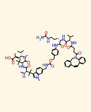 CNC(C(=O)N[C@H](C(=O)N(C)[C@H](/C=C(\C)C(=O)O)C(C)C)C(C)(C)C)C(C)(C)c1cn(C)c2cc(CNC(=O)OCc3ccc(NC(=O)[C@H](CCCNC(N)=O)NC(=O)[C@@H](NC(=O)CCC(=O)N4Cc5ccccc5C#Cc5ccccc54)C(C)C)cc3)ccc12